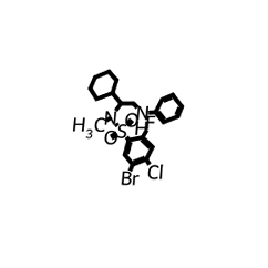 CN(C(CNc1ccccc1)C1CCCCC1)S(=O)(=O)c1cc(Br)c(Cl)cc1F